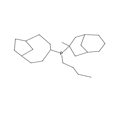 CCCCP(C1CCC2CCC(CC1)C2)C1(C)CC2CCCC(C2)C1